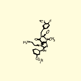 Cn1c(=O)n(Cc2ccc(Cl)c(Cl)c2)c(=O)c2c1nc(NC1CCCC(C(=O)O)C1)n2CCN